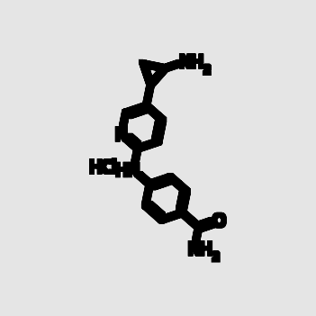 Cl.NC(=O)c1ccc(Nc2ccc(C3CC3N)cn2)cc1